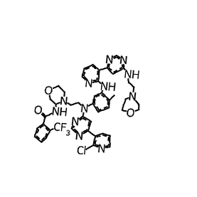 Cc1ccc(N(CCN2CCOCC2NC(=O)c2ccccc2C(F)(F)F)c2cc(-c3cccnc3Cl)ncn2)cc1Nc1ncccc1-c1cc(NCCN2CCOCC2)ncn1